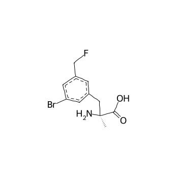 C[C@](N)(Cc1cc(Br)cc(CF)c1)C(=O)O